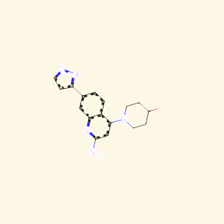 Nc1cc(N2CCC(O)CC2)c2ccc(-c3ccn[nH]3)cc2n1